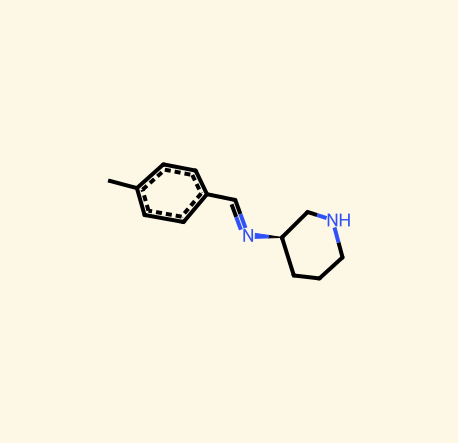 Cc1ccc(C=N[C@@H]2CCCNC2)cc1